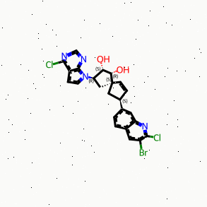 O[C@H]1[C@H](n2ccc3c(Cl)ncnc32)C[C@@]2(C=C[C@@H](c3ccc4cc(Br)c(Cl)nc4c3)C2)[C@H]1O